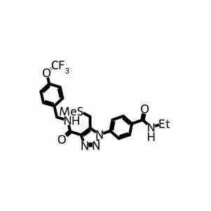 CCNC(=O)c1ccc(-n2nnc(C(=O)NCc3ccc(OC(F)(F)F)cc3)c2CSC)cc1